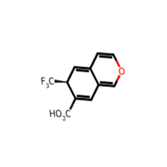 O=C(O)C1=CC2=COC=CC2=C[C@@H]1C(F)(F)F